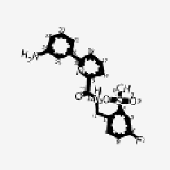 CS(=O)(=O)c1cc(F)ccc1CNC(=O)c1cccc(-c2cccc(N)c2)n1